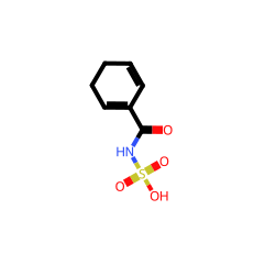 O=C(NS(=O)(=O)O)C1=CCCC=C1